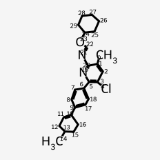 Cc1cc(Cl)c(-c2ccc(C3=CCC(C)CC3)cc2)nc1/N=C/OC1CCCCC1